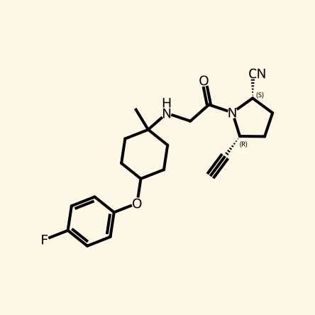 C#C[C@H]1CC[C@@H](C#N)N1C(=O)CNC1(C)CCC(Oc2ccc(F)cc2)CC1